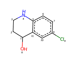 OC1CCNc2ccc(Cl)cc21